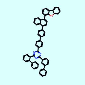 c1ccc(-c2cccc(-c3nc(-c4ccc(-c5ccc(-c6ccc(-c7cccc8c7oc7ccccc78)c7ccccc67)cc5)cc4)nc(-c4ccccc4-c4ccccc4)n3)c2)cc1